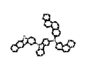 c1ccc2cc3c(cc2c1)oc1ccc(-n2c4ccccc4c4cc(N(c5ccc6ccc7ccccc7c6c5)c5ccc6ccc7c8ccccc8ccc7c6c5)ccc42)cc13